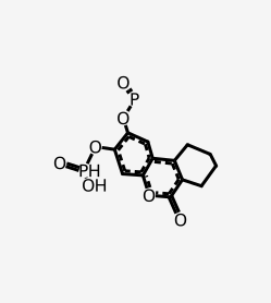 O=POc1cc2c3c(c(=O)oc2cc1O[PH](=O)O)CCCC3